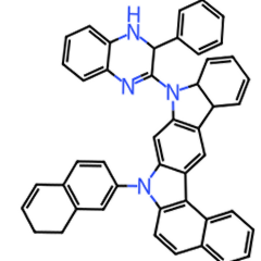 C1=CC2c3cc4c5c6ccccc6ccc5n(-c5ccc6c(c5)CCC=C6)c4cc3N(C3=Nc4ccccc4NC3c3ccccc3)C2C=C1